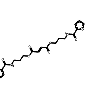 O=C(/C=C/C(=O)OCCCNC(=O)c1ccco1)OCCCNC(=O)c1ccco1